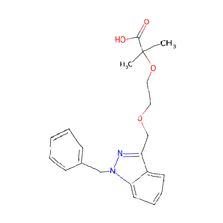 CC(C)(OCCOCc1nn(Cc2ccccc2)c2ccccc12)C(=O)O